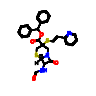 O=CNC1C(=O)N2CC(SC=Cc3ccccn3)(C(=O)OC(c3ccccc3)c3ccccc3)CS[C@H]12